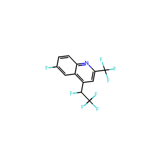 Fc1ccc2nc(C(F)(F)F)cc(C(F)C(F)(F)F)c2c1